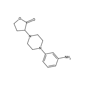 Nc1cccc(N2CCN(C3CCOC3=O)CC2)c1